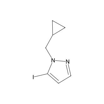 Ic1ccnn1CC1CC1